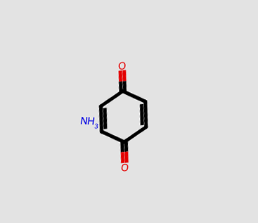 N.O=C1C=CC(=O)C=C1